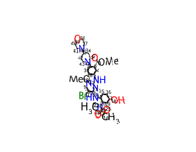 COC(=O)c1cc(Nc2ncc(Br)c(Nc3ccc(O)cc3N(C)S(C)(=O)=O)n2)c(OC)cc1N1CCC(N2CCOCC2)CC1